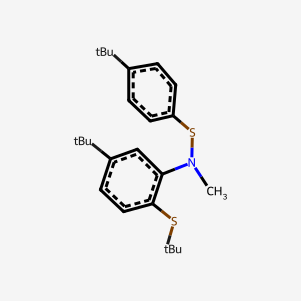 CN(Sc1ccc(C(C)(C)C)cc1)c1cc(C(C)(C)C)ccc1SC(C)(C)C